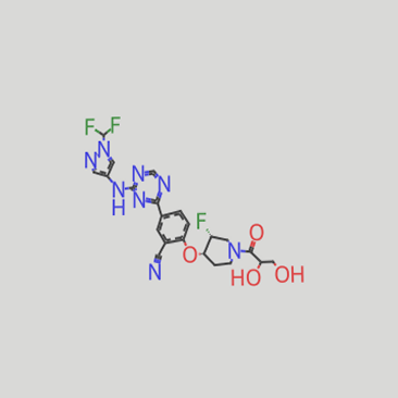 N#Cc1cc(-c2ncnc(Nc3cnn(C(F)F)c3)n2)ccc1O[C@H]1CCN(C(=O)C(O)CO)C[C@H]1F